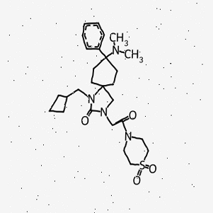 CN(C)C1(c2ccccc2)CCC2(CC1)CN(CC(=O)N1CCS(=O)(=O)CC1)C(=O)N2CC1CCC1